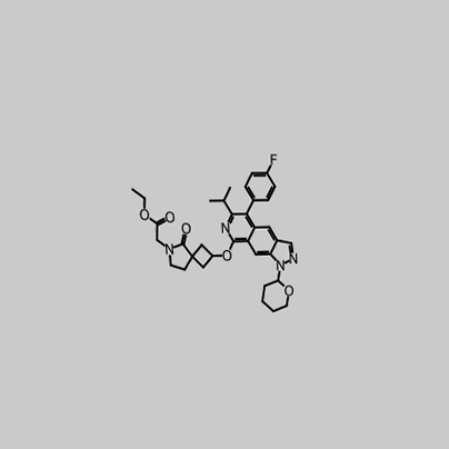 CCOC(=O)CN1CCC2(CC(Oc3nc(C(C)C)c(-c4ccc(F)cc4)c4cc5cnn(C6CCCCO6)c5cc34)C2)C1=O